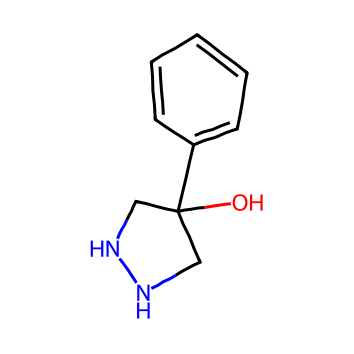 OC1(c2ccccc2)CNNC1